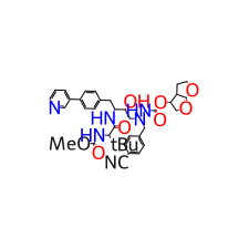 COC(=O)NC(C(=O)NC(Cc1ccc(-c2cccnc2)cc1)C(O)CN(Cc1ccc(C#N)cc1)NC(=O)OC1COC2OCCC12)C(C)(C)C